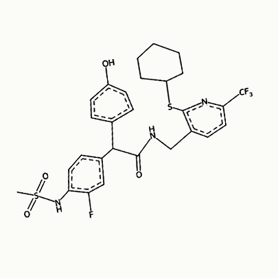 CS(=O)(=O)Nc1ccc(C(C(=O)NCc2ccc(C(F)(F)F)nc2SC2CCCCC2)c2ccc(O)cc2)cc1F